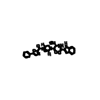 CC(C)(C)[C@H](NC(=O)c1cc2ccccc2[nH]1)C(=O)N1C[C@@H]2C[C@H]1CN2C(=O)c1ncc(-c2ccccc2)o1